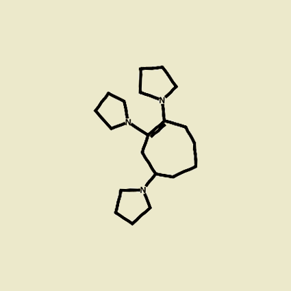 C1CCC(N2CCCC2)CC(N2CCCC2)=C(N2CCCC2)C1